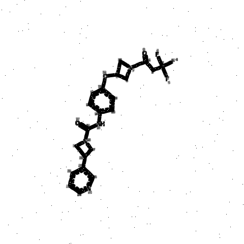 O=C(CC(F)(F)F)N1CC(Oc2ccc(NC(=O)N3CC(c4cccnc4)C3)cc2)C1